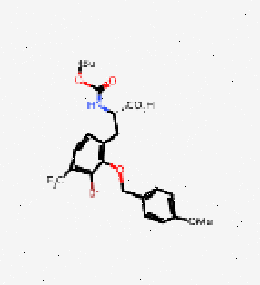 COc1ccc(COc2c(C[C@H](NC(=O)OC(C)(C)C)C(=O)O)ccc(C(F)(F)F)c2Br)cc1